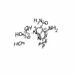 NC(=O)c1cn([C@@H]2O[C@H](CO)[C@@H](O)[C@H]2O)c2nc(C(F)(F)F)nc(N)c12